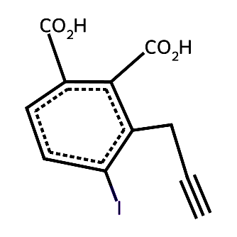 C#CCc1c(I)ccc(C(=O)O)c1C(=O)O